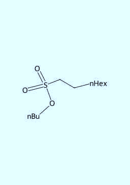 CCCCCCCCS(=O)(=O)OCCCC